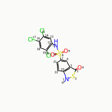 Cn1sc(=O)c2cc(S(=O)(=O)Nc3cc(Cl)c(Cl)cc3Cl)ccc21